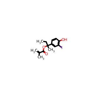 C=C(C)C(=O)OC(C)(CC)c1ccc(O)c(I)c1